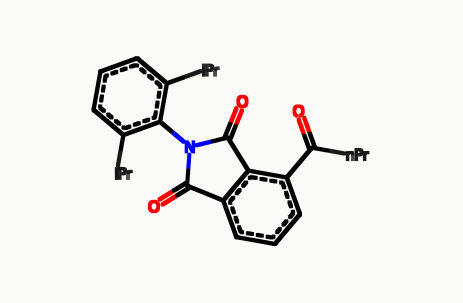 CCCC(=O)c1cccc2c1C(=O)N(c1c(C(C)C)cccc1C(C)C)C2=O